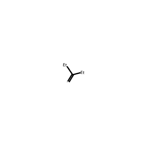 [C]=C(CC)CC